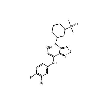 CP(C)(=O)N1CCCC(Sc2nonc2C(=NO)Nc2ccc(F)c(Br)c2)C1